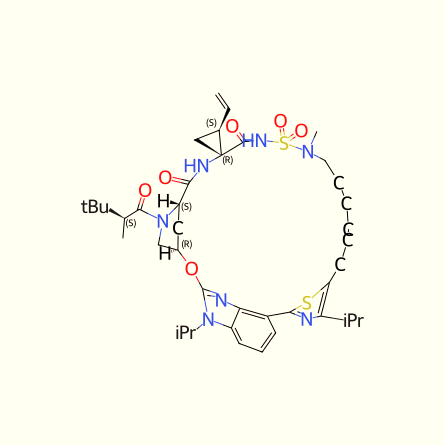 C=C[C@@H]1C[C@@]12NC(=O)[C@@H]1C[C@H](CN1C(=O)[C@@H](C)C(C)(C)C)Oc1nc3c(cccc3n1C(C)C)-c1nc(C(C)C)c(s1)CCCCCCN(C)S(=O)(=O)NC2=O